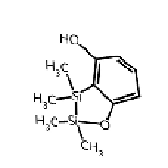 C[Si]1(C)Oc2cccc(O)c2[Si]1(C)C